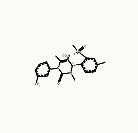 CC1=C(C(=O)O)[C@@H](c2ccc(C)cc2S(C)(=O)=O)N(C)C(=O)N1c1cccc(C(F)(F)F)c1